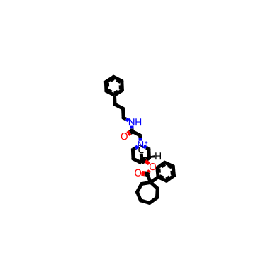 O=C(C[N+]12CCC(CC1)[C@@H](OC(=O)C1(c3ccccc3)CCCCCC1)C2)NCCCc1ccccc1